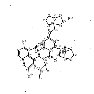 C#Cc1c(F)ccc2cc(O)cc(-c3c(F)c4nc(OC[C@@]56CCCN5C[C@H](F)C6)nc(N5CC6CCC(C5)N6)c4c(=O)n3C3CC3(F)F)c12